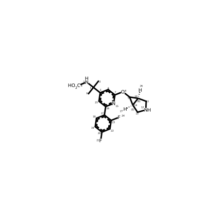 CC(C)(NC(=O)O)c1cc(OC2[C@H]3CNC[C@@H]23)nc(-c2ccc(F)cc2F)c1